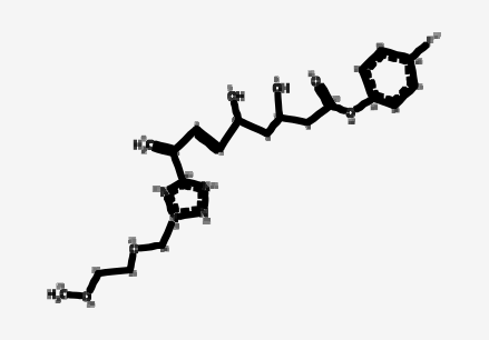 C=C(C=CC(O)CC(O)CC(=O)Oc1ccc(F)cc1)c1nnn(COCCOC)n1